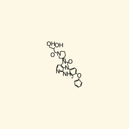 Nc1nccc2c1n(-c1ccc(Oc3ccccc3)cc1)c(=O)n2[C@@H]1CCCN(C(=O)C(O)CO)C1